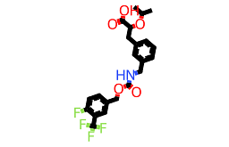 CC(C)OC(Cc1cccc(CNC(=O)OCc2ccc(F)c(C(F)(F)F)c2)c1)C(=O)O